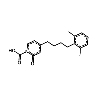 Cc1cccc(C)c1CCCCc1ccn(C(=O)O)c(=O)c1